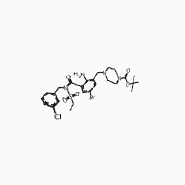 CCS(=O)(=O)N(Cc1cccc(Cl)c1)C(=O)c1cc(Br)cc(CN2CCN(C(=O)OC(C)(C)C)CC2)c1N